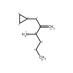 C=C(CC1CC1)C(N)CCC